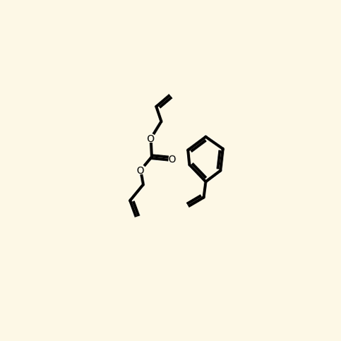 C=CCOC(=O)OCC=C.C=Cc1ccccc1